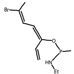 C=C/C(=C\C=C(/C)Br)OP(C)NCC